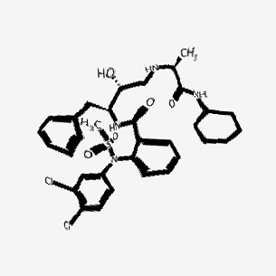 C[C@H](NC[C@@H](O)[C@H](Cc1ccccc1)NC(=O)c1ccccc1N(c1ccc(Cl)c(Cl)c1)S(C)(=O)=O)C(=O)NC1CCCCC1